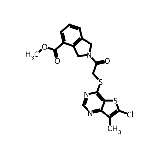 COC(=O)c1cccc2c1CN(C(=O)CSc1ncnc3c(C)c(Cl)sc13)C2